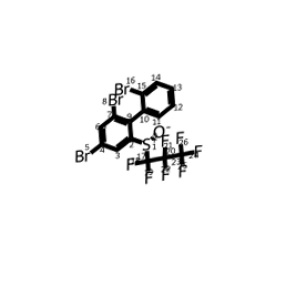 [O-][S+](c1cc(Br)[c]c(Br)c1-c1ccccc1Br)C(F)(F)C(F)(F)C(F)(F)F